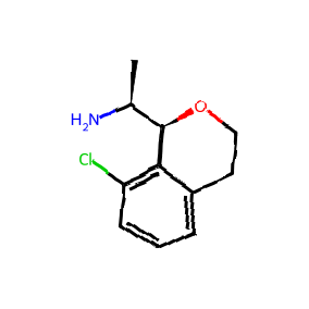 C[C@H](N)[C@H]1OCCc2cccc(Cl)c21